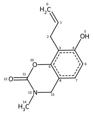 C=CCc1c(O)ccc2c1OC(=O)N(C)C2